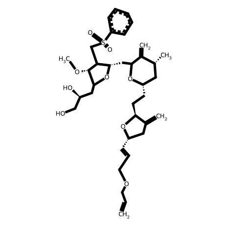 C=CCOC/C=C/[C@H]1CC(=C)[C@H](CC[C@H]2C[C@@H](C)C(=C)C(C[C@@H]3OC(C[C@H](O)CO)[C@H](OC)C3CS(=O)(=O)c3ccccc3)O2)O1